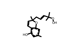 Cc1cc(O)c2c(c1)OC(C)(CC=CC(C)(C)OO)C=C2